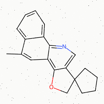 Cc1cc2c3c(cnc2c2ccccc12)C1(CCCC1)CO3